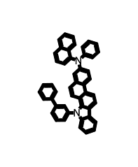 c1ccc(-c2cccc(-n3c4ccccc4c4ccc5c6ccc(N(c7ccccc7)c7cccc8ccccc78)cc6ccc5c43)c2)cc1